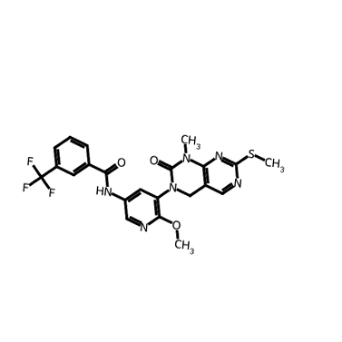 COc1ncc(NC(=O)c2cccc(C(F)(F)F)c2)cc1N1Cc2cnc(SC)nc2N(C)C1=O